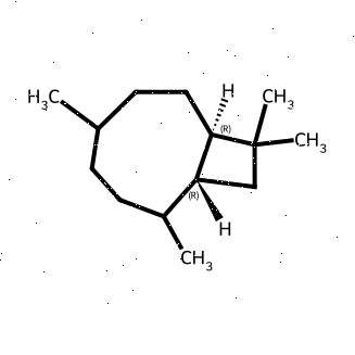 CC1CCC(C)[C@H]2CC(C)(C)[C@@H]2CC1